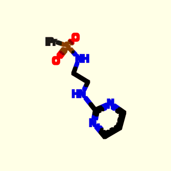 CC(C)S(=O)(=O)NCCNc1ncccn1